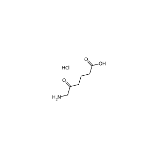 Cl.NCC(=O)CCCC(=O)O